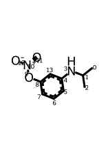 CC(C)Nc1cccc(O[N+](=O)[O-])c1